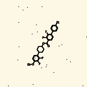 CCOc1ccc(C2CCC(OC(=O)c3ccc(-c4ccc(CC)cc4)c(F)c3F)CC2)c(F)c1F